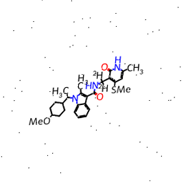 [2H]C([2H])(NC(=O)c1c(C)n([C@H](C)C2CCC(OC)CC2)c2ccccc12)c1c(SC)cc(C)[nH]c1=O